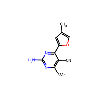 CSc1nc(N)nc(-c2cc(C)co2)c1C#N